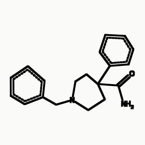 NC(=O)C1(c2ccccc2)CCN(Cc2ccccc2)CC1